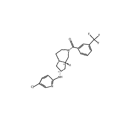 O=C(c1cccc(C(F)(F)F)c1)N1CCN2C[C@@H](Nc3ccc(Cl)cn3)C[C@H]2C1